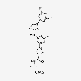 COCC(C)NC(=O)C1CN(c2cc(C)cc(Nc3ncn(-c4cc(F)cc(F)c4)n3)c2)C1